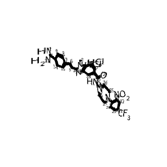 Cl.Cl.Cn1c(CCc2ccc(C(=N)N)cc2)nc2cc(C(=O)NN3CCN(c4ccc(C(F)(F)F)cc4[N+](=O)[O-])CC3)ccc21